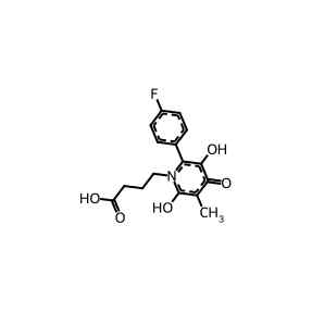 Cc1c(O)n(CCCC(=O)O)c(-c2ccc(F)cc2)c(O)c1=O